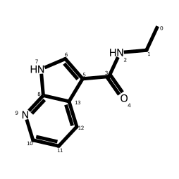 CCNC(=O)c1c[nH]c2ncccc12